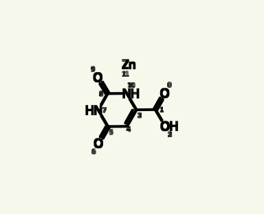 O=C(O)c1cc(=O)[nH]c(=O)[nH]1.[Zn]